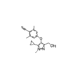 Cc1cc(Oc2c(CO)nn(C)c2C2CC2)cc(C)c1C#N